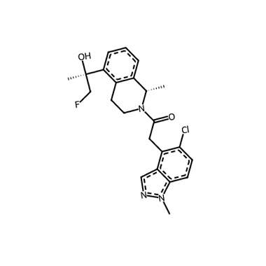 C[C@H]1c2cccc([C@](C)(O)CF)c2CCN1C(=O)Cc1c(Cl)ccc2c1cnn2C